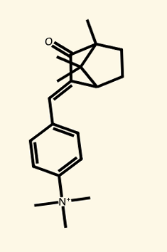 CC12CCC(C(=Cc3ccc([N+](C)(C)C)cc3)C1=O)C2(C)C